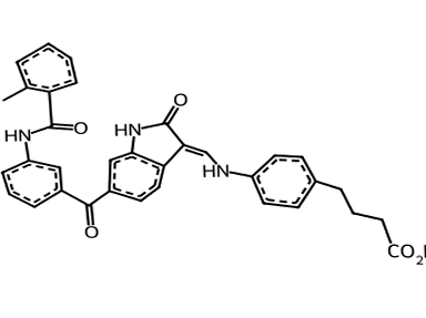 Cc1ccccc1C(=O)Nc1cccc(C(=O)c2ccc3c(c2)NC(=O)C3=CNc2ccc(CCCC(=O)O)cc2)c1